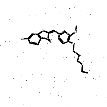 CCCCCCOc1ccc(C=C2Oc3cc(O)ccc3C2=O)cc1OC